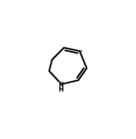 [C]1=CCCNC=C1